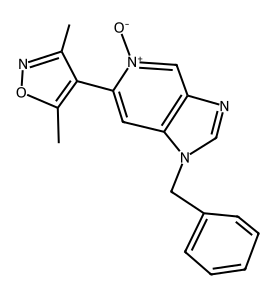 Cc1noc(C)c1-c1cc2c(c[n+]1[O-])ncn2Cc1ccccc1